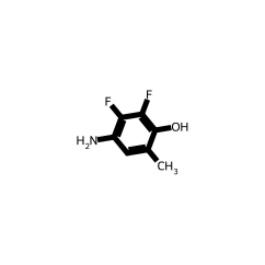 Cc1cc(N)c(F)c(F)c1O